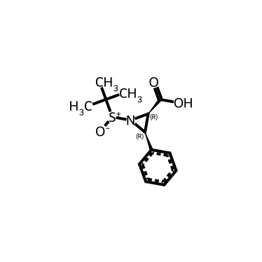 CC(C)(C)[S+]([O-])N1[C@H](c2ccccc2)[C@@H]1C(=O)O